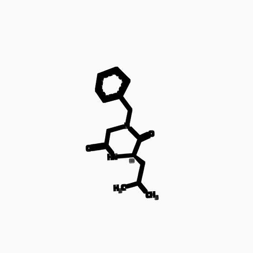 CC(C)C[C@H]1NC(=O)CN(Cc2ccccc2)C1=O